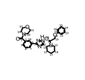 O=C(c1cccc(-c2n[nH]c([C@H]3CCCCN3C(=O)COc3ccccc3)n2)c1)N1CCOCC1